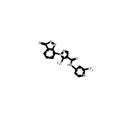 O=C1N=Nc2c1cccc2-n1ncc(C(=O)Nc2ccnc(C(F)(F)F)c2)c1C(F)(F)F